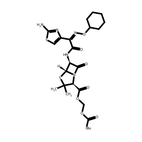 CC(C)(C)C(=O)OCOC(=O)[C@@H]1N2C(=O)[C@H](NC(=O)/C(=N\OC3CCCCC3)c3csc(N)n3)[C@H]2SC1(C)C